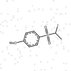 COc1ccc(S(=O)(=O)C(I)I)cc1